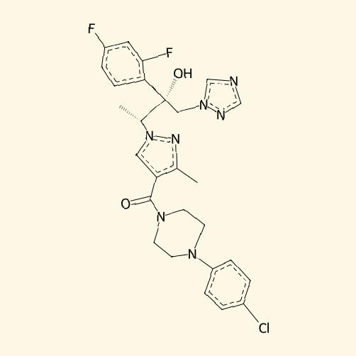 Cc1nn([C@H](C)[C@](O)(Cn2cncn2)c2ccc(F)cc2F)cc1C(=O)N1CCN(c2ccc(Cl)cc2)CC1